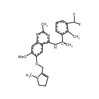 COc1cc2nc(C)nc(N[C@H](C)c3cccc(C(F)F)c3C)c2cc1OCC1=CCCN1C